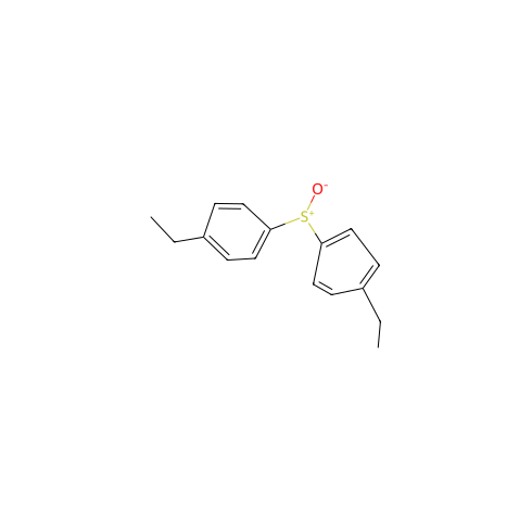 CCc1ccc([S+]([O-])c2ccc(CC)cc2)cc1